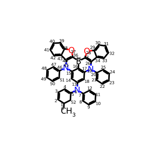 CC1C=CC=C(N(c2ccccc2)c2cc3c4c(c2)N(c2ccccc2)c2c(oc5ccccc25)B4c2oc4ccccc4c2N3c2ccccc2)C1